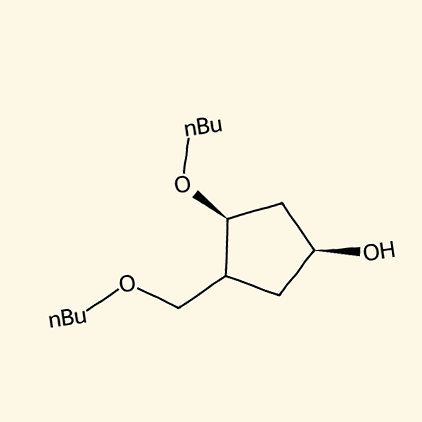 CCCCOCC1C[C@H](O)C[C@@H]1OCCCC